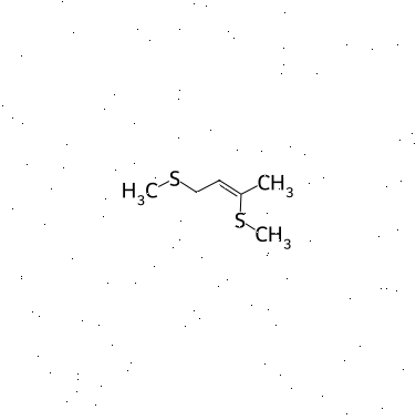 CSCC=C(C)SC